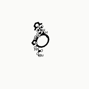 CC1CCCC(C)N1S(=O)(=O)NC(=O)[C@@]12C[C@H]1/C=C\CCCCC[C@H](NC(=O)OC(C)(C)C)C(=O)N1CCC[C@H]1C(=O)N2